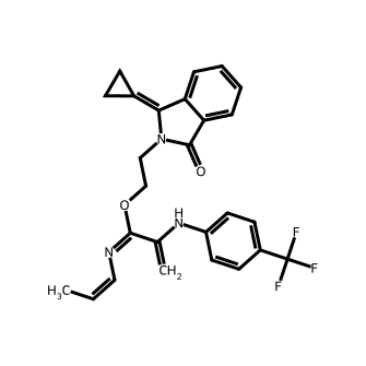 C=C(Nc1ccc(C(F)(F)F)cc1)/C(=N\C=C/C)OCCN1C(=O)c2ccccc2C1=C1CC1